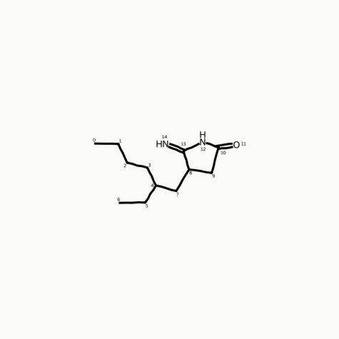 CCCCC(CC)CC1CC(=O)NC1=N